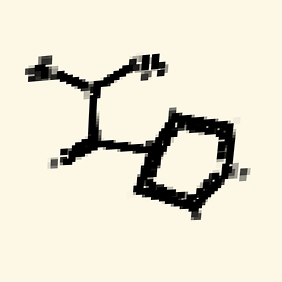 CN(C(=O)c1ccncc1)C(C)(C)C